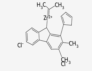 C[C](C)=[Zr+2][CH]1c2ccccc2-c2cc(C)c(C)c(C3=CC=CC3)c21.[Cl-].[Cl-]